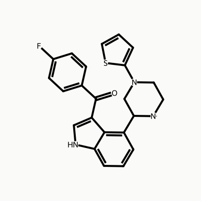 O=C(c1ccc(F)cc1)c1c[nH]c2cccc(C3CN(c4cccs4)CC[N]3)c12